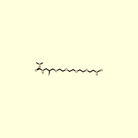 CC(C)NCCOCCOCCOCCOCC(F)CNC(=O)[SH](C)C